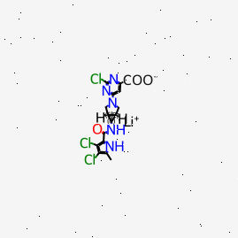 Cc1[nH]c(C(=O)N[C@@H]2[C@@H]3CN(c4cc(C(=O)[O-])nc(Cl)n4)C[C@@H]32)c(Cl)c1Cl.[Li+]